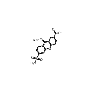 NS(=O)(=O)c1ccc2c(=O)c3cc(C(=O)[O-])ccc3oc2c1.[Na+]